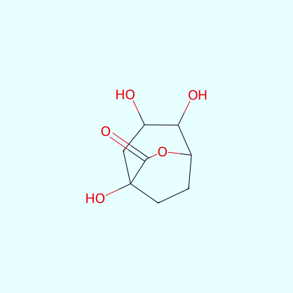 O=C1OC2CCC1(O)CC(O)C2O